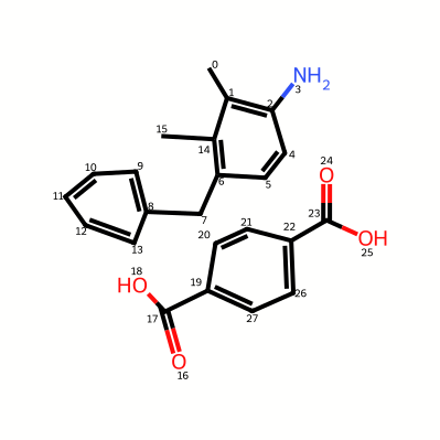 Cc1c(N)ccc(Cc2ccccc2)c1C.O=C(O)c1ccc(C(=O)O)cc1